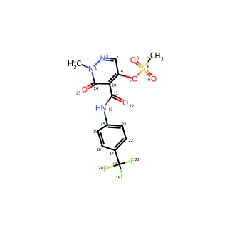 Cn1ncc(OS(C)(=O)=O)c(C(=O)Nc2ccc(C(F)(F)F)cc2)c1=O